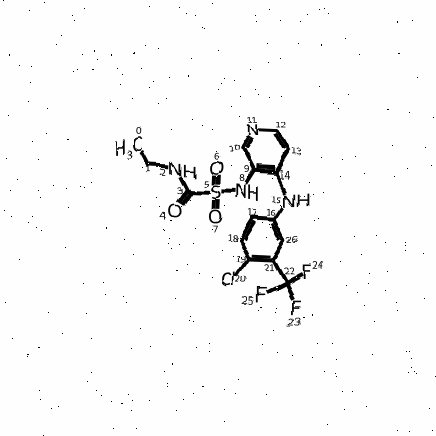 CCNC(=O)S(=O)(=O)Nc1cnccc1Nc1ccc(Cl)c(C(F)(F)F)c1